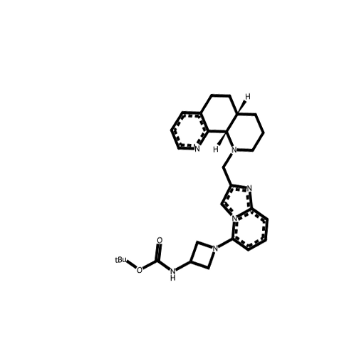 CC(C)(C)OC(=O)NC1CN(c2cccc3nc(CN4CCC[C@H]5CCc6cccnc6[C@H]54)cn23)C1